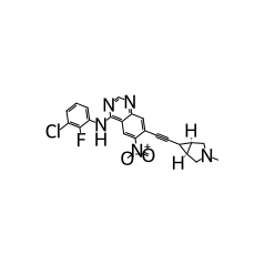 CN1C[C@@H]2C(C#Cc3cc4ncnc(Nc5cccc(Cl)c5F)c4cc3[N+](=O)[O-])[C@@H]2C1